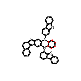 c1ccc(N(c2ccc3c(c2)oc2ccccc23)c2cc3sc4ccc5ccccc5c4c3cc2N(c2ccccc2)c2cccc3c2sc2ccccc23)cc1